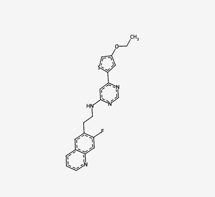 CCOc1csc(-c2cc(NCCc3cc4cccnc4cc3F)ncn2)c1